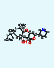 CC(=O)OC[C@@](C)(OC(C)=O)[C@@H]1C[C@H](OC(C)=O)[C@@]2(C)Oc3cc(-c4cccnc4)oc(=O)c3[C@H](O)[C@H]2C1